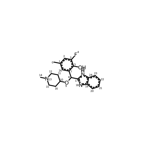 Cc1cc(F)c(O)c(C(OC2CCN(C)CC2)c2nc3ccccc3[nH]2)c1